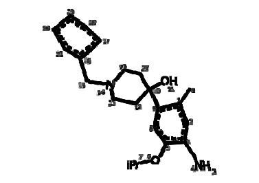 Cc1cc(N)c(OC(C)C)cc1C1(O)CCN(Cc2ccccc2)CC1